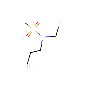 CNCCN(CC(C)=O)S(C)(=O)=O